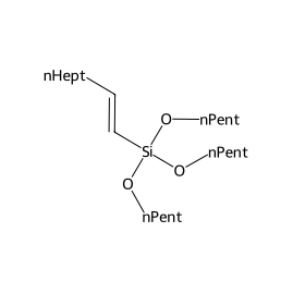 CCCCCCCC=C[Si](OCCCCC)(OCCCCC)OCCCCC